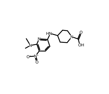 CN(C)c1nc(NC2CCN(C(=O)O)CC2)ccc1[N+](=O)[O-]